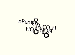 CCCCCOC(=O)CN(CCN(CC(=O)O)Cc1ccccc1O)Cc1ccccc1O